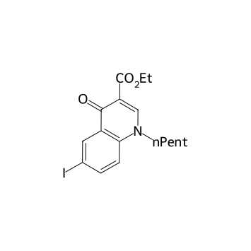 CCCCCn1cc(C(=O)OCC)c(=O)c2cc(I)ccc21